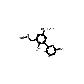 CC(C)(C)NCc1cc(C(C)(C)C)cc(-c2cccc(C(F)(F)F)n2)c1O.Cl